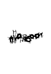 CN(C)c1ccc(-c2ccc(CC3(C(=O)Nc4cccc(C(=O)Nc5cccnc5)c4)CCCCC3)cc2)cc1